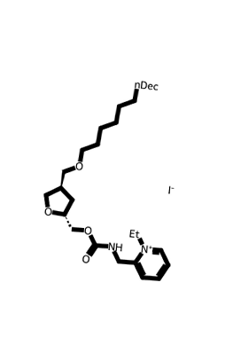 CCCCCCCCCCCCCCCCOC[C@@H]1CO[C@@H](COC(=O)NCc2cccc[n+]2CC)C1.[I-]